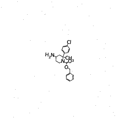 CC1(c2ccc(Cl)cc2)CC(N)CCN1C(=O)OCc1ccccc1